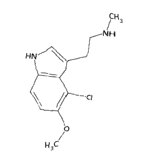 CNCCc1c[nH]c2ccc(OC)c(Cl)c12